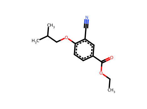 CCOC(=O)c1ccc(OCC(C)C)c(C#N)c1